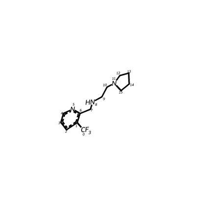 FC(F)(F)c1cccnc1CNCCN1CCCC1